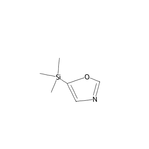 C[Si](C)(C)c1cnco1